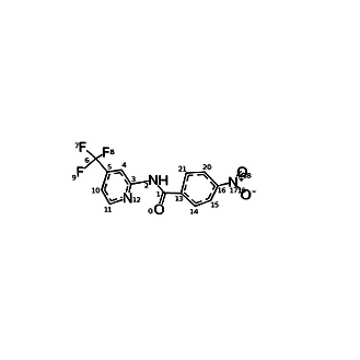 O=C(Nc1cc(C(F)(F)F)ccn1)c1ccc([N+](=O)[O-])cc1